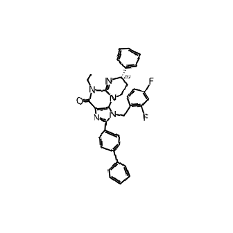 CCN1C(=O)c2nc(-c3ccc(-c4ccccc4)cc3)n(Cc3ccc(F)cc3F)c2N2CC[C@@H](c3ccccc3)N=C12